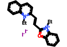 CC[n+]1c(C=Cc2oc3ccccc3[n+]2CC)ccc2ccccc21.[I-].[I-]